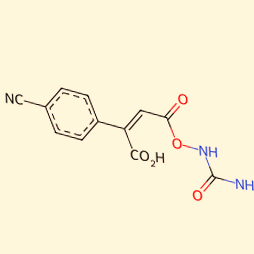 N#Cc1ccc(/C(=C/C(=O)ONC(N)=O)C(=O)O)cc1